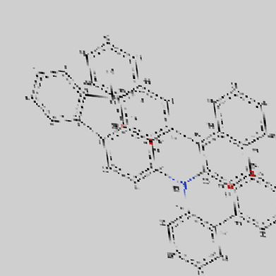 CC1(C)c2ccccc2-c2ccc(N(c3ccccc3-c3ccccc3)c3ccc4ccccc4c3-c3ccc4ccccc4c3)cc21